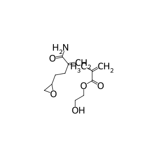 C=C(C)C(=O)OCCO.C=C(CCC1CO1)C(N)=O